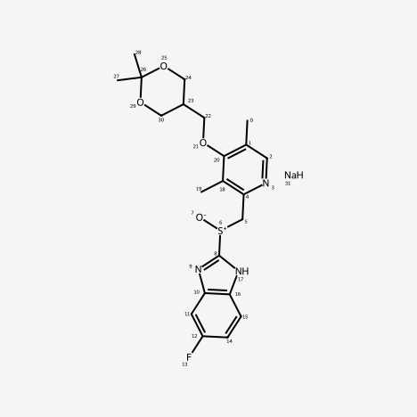 Cc1cnc(C[S+]([O-])c2nc3cc(F)ccc3[nH]2)c(C)c1OCC1COC(C)(C)OC1.[NaH]